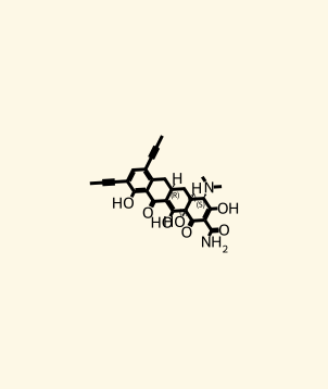 CC#Cc1cc(C#CC)c2c(c1O)C(=O)C1=C(O)[C@]3(O)C(=O)C(C(N)=O)=C(O)[C@@H](N(C)C)[C@@H]3C[C@@H]1C2